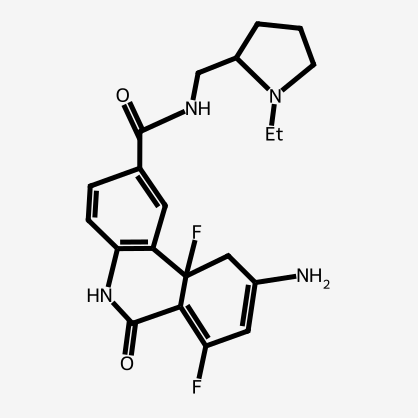 CCN1CCCC1CNC(=O)c1ccc2c(c1)C1(F)CC(N)=CC(F)=C1C(=O)N2